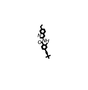 CCc1ccc2cc(NC(=O)c3ccc(C#CC(C)(C)C)cc3C)cnc2c1